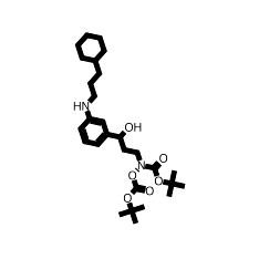 CC(C)(C)OC(=O)ON(CCC(O)c1cccc(NCCCC2CCCCC2)c1)C(=O)OC(C)(C)C